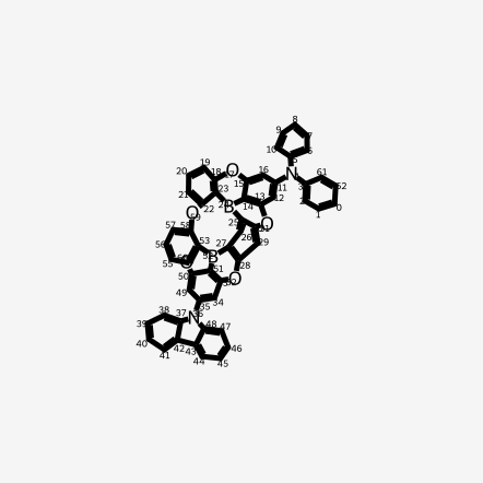 c1ccc(N(c2ccccc2)c2cc3c4c(c2)Oc2cccc5c2B4c2cc4c(cc2O3)Oc2cc(-n3c6ccccc6c6ccccc63)cc3c2B4c2c(cccc2O5)O3)cc1